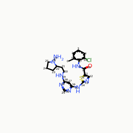 Cc1cccc(Cl)c1NC(=O)c1cnc(Nc2cc(NCCC3CCCN3N)ncn2)s1